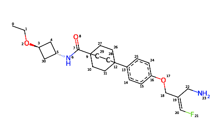 CCO[C@H]1C[C@H](NC(=O)C23CCC(c4ccc(OC/C(=C/F)CN)cc4)(CC2)CC3)C1